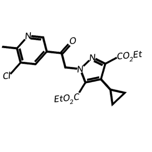 CCOC(=O)c1nn(CC(=O)c2cnc(C)c(Cl)c2)c(C(=O)OCC)c1C1CC1